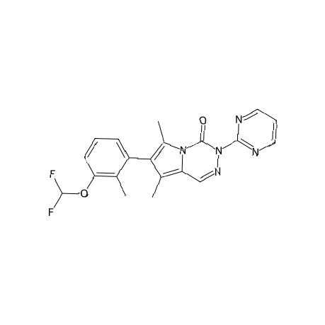 Cc1c(OC(F)F)cccc1-c1c(C)c2cnn(-c3ncccn3)c(=O)n2c1C